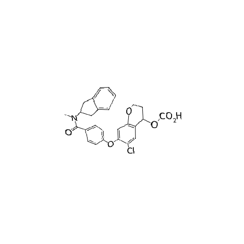 CN(C(=O)c1ccc(Oc2cc3c(cc2Cl)C(OC(=O)O)CCO3)cc1)C1Cc2ccccc2C1